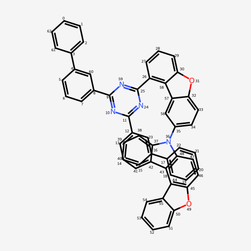 c1ccc(-c2cccc(-c3nc(-c4cccc(-c5ccccc5)c4)nc(-c4cccc5oc6ccc(-n7c8ccccc8c8c9c(ccc87)oc7ccccc79)cc6c45)n3)c2)cc1